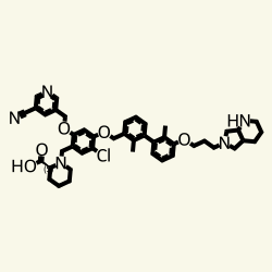 Cc1c(COc2cc(OCc3cncc(C#N)c3)c(CN3CCCC[C@H]3C(=O)O)cc2Cl)cccc1-c1cccc(OCCCN2CC3CCCNC3C2)c1C